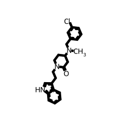 CN(Cc1cccc(Cl)c1)C1CCN(CCc2c[nH]c3ccccc23)C(=O)C1